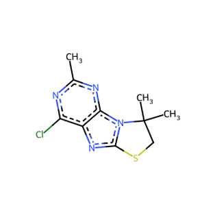 Cc1nc(Cl)c2nc3n(c2n1)C(C)(C)CS3